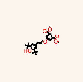 COC(=O)c1cc(OCCCc2cc(C(C)(C)C)c(O)c(C(C)(C)C)c2)cc(C(=O)OC)c1